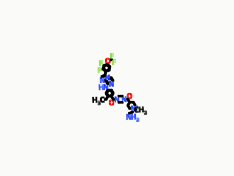 CCc1cc(Nc2nccn3c(-c4ccc(OC(F)F)c(F)c4F)cnc23)ccc1C(=O)N1CCN(C(=O)C2CC[N+](C)(CCN)CC2)CC1